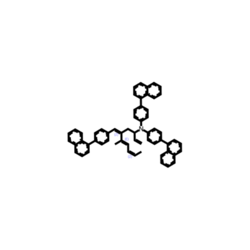 C=CC(CC(=C/c1ccc(-c2cccc3ccccc23)cc1)/C(C)=C/C=C\C)N(c1ccc(-c2cccc3ccccc23)cc1)c1ccc(-c2cccc3ccccc23)cc1